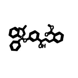 COC(=O)c1ccccc1CCC(O)c1cccc(O[Si](CC(C)C)(c2ccccc2)c2ccccc2)c1